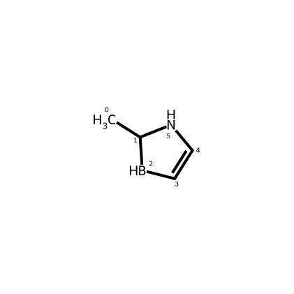 CC1BC=CN1